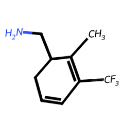 CC1=C(C(F)(F)F)C=CCC1CN